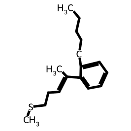 CCCCCc1ccccc1/C(C)=C/CCSC